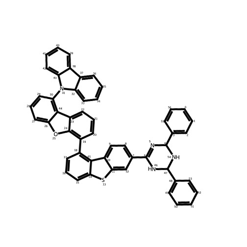 c1ccc(C2N=C(c3ccc4c(c3)sc3cccc(-c5cccc6c5oc5cccc(-n7c8ccccc8c8ccccc87)c56)c34)NC(c3ccccc3)N2)cc1